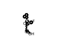 O=C1N(CCCn2cc(CO)nn2)CN(c2ccc(F)cc2)C12CCN([C@@H]1Cc3cccc4cccc1c34)CC2